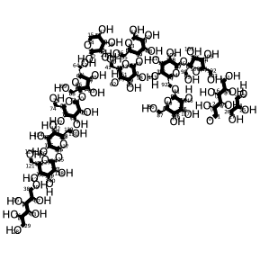 O=C[C@H](O)[C@@H](O)[C@@H](O)[C@H](O)CO.OC1OC[C@@H](O)[C@H](O)[C@H]1O.OCC(O)CO.OC[C@@H](O)[C@@H](O)[C@H](O)[C@H](O)CO.OC[C@H]1O[C@@H](O[C@H]2[C@H](O)[C@@H](O)[C@H](O)O[C@@H]2CO)[C@H](O)[C@@H](O)[C@H]1O.OC[C@H]1O[C@@](CO)(O[C@H]2O[C@H](CO)[C@@H](O)[C@H](O)[C@H]2O)[C@@H](O)[C@@H]1O.OC[C@H]1O[C@H](OC[C@H]2O[C@H](O[C@]3(CO)O[C@H](CO)[C@@H](O)[C@@H]3O)[C@H](O)[C@@H](O)[C@@H]2O)[C@H](O)[C@@H](O)[C@H]1O.OC[C@H]1O[C@H](O[C@H]2O[C@H](CO)[C@@H](O)[C@H](O)[C@H]2O)[C@H](O)[C@@H](O)[C@@H]1O